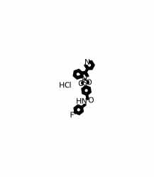 Cl.O=C(NCc1ccc(F)cc1)c1ccc(S(=O)(=O)n2cc(-c3cccnc3)c3ccccc32)cc1